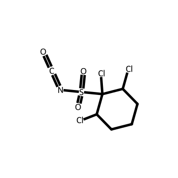 O=C=NS(=O)(=O)C1(Cl)C(Cl)CCCC1Cl